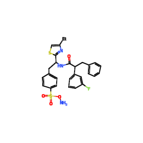 CCc1csc(C(Cc2ccc(S(=O)(=O)ON)cc2)NC(=O)C(Cc2ccccc2)c2cccc(F)c2)n1